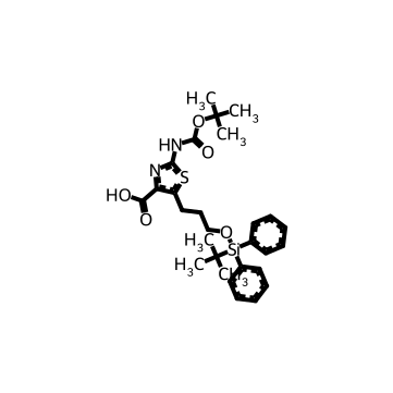 CC(C)(C)OC(=O)Nc1nc(C(=O)O)c(CCCO[Si](c2ccccc2)(c2ccccc2)C(C)(C)C)s1